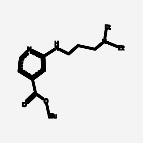 CCN(CC)CCCNc1cc(C(=O)OC(C)(C)C)ccn1